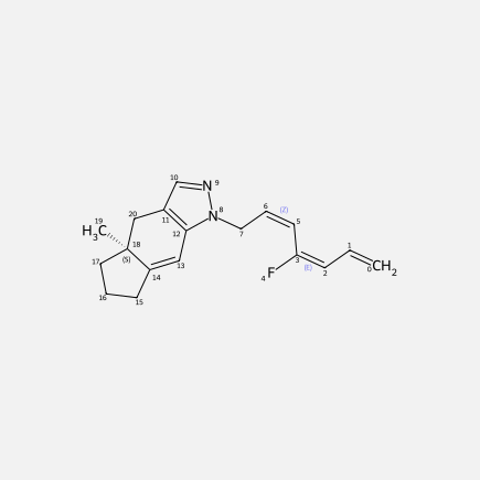 C=C/C=C(F)\C=C/Cn1ncc2c1C=C1CCC[C@@]1(C)C2